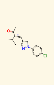 CC(=O)/C(=C/c1cnn(-c2ccc(Cl)cc2)c1)C(C)C